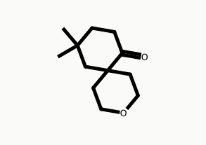 CC1(C)CCC(=O)C2(CCOCC2)C1